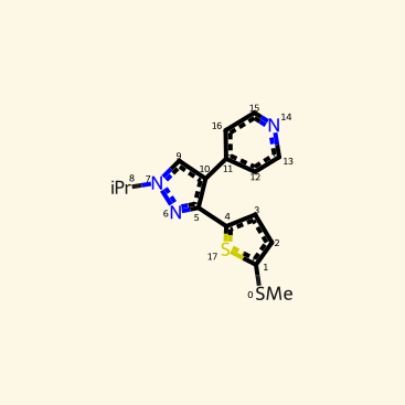 CSc1ccc(-c2nn(C(C)C)cc2-c2ccncc2)s1